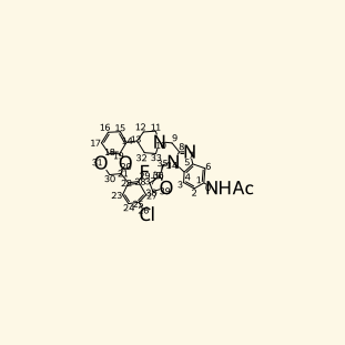 CC(=O)Nc1ccc2c(c1)nc(CN1CCC(c3cccc4c3OC(c3ccc(Cl)cc3F)CO4)CC1)n2C[C@@H]1CCO1